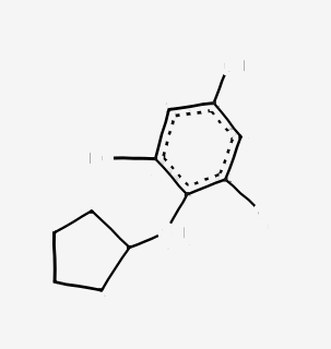 Cc1cc(C)c([SiH2]C2CCCC2)c(C)c1